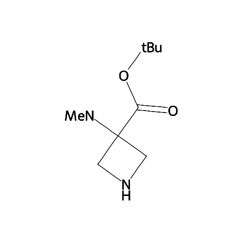 CNC1(C(=O)OC(C)(C)C)CNC1